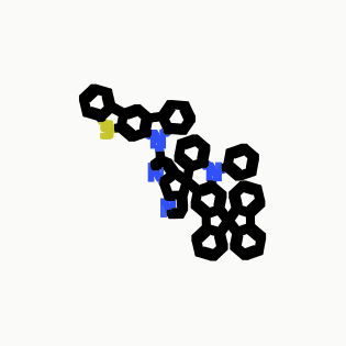 c1ccc(N2c3ccccc3C3(c4cc5c(cc42)C2(c4ccccc4-c4ccccc42)c2ccccc2-5)c2cccnc2-c2ncc(-n4c5ccccc5c5cc6c(cc54)sc4ccccc46)cc23)cc1